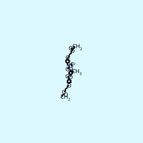 [C-]#[N+]/C(=C\c1ccc(OCCCCOC(=O)C=C)cc1)C(=O)Oc1ccc(OC(=O)c2ccc(OCCCCOC(=O)C=C)cc2)cc1C